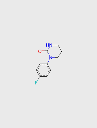 O=C1NCCCN1c1ccc(F)cc1